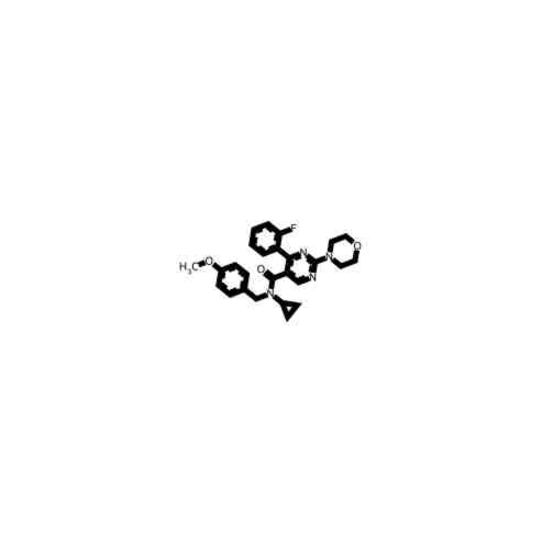 COc1ccc(CN(C(=O)c2cnc(N3CCOCC3)nc2-c2ccccc2F)C2CC2)cc1